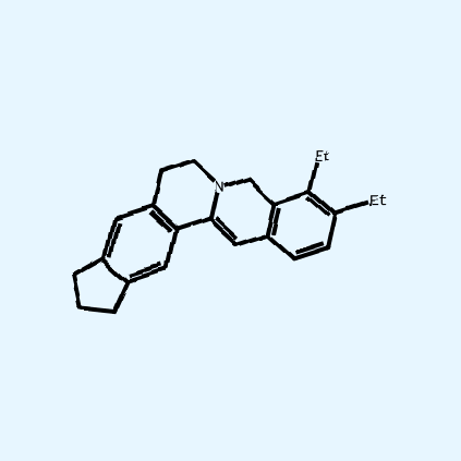 CCc1ccc2c(c1CC)CN1CCc3cc4c(cc3C1=C2)CCC4